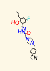 C=CCc1cc(F)cc(/C=N/NC(=O)CN2CCN(Cc3ccc(C#N)cc3)CC2)c1O